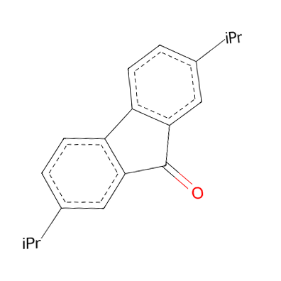 CC(C)c1ccc2c(c1)C(=O)c1cc(C(C)C)ccc1-2